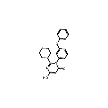 O=c1cc(O)nc(C2CCCCC2)n1-c1cccc(Oc2ccccc2)c1